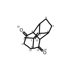 CC(C)=C1C2CCC1C1C(=O)CCC(=O)C21